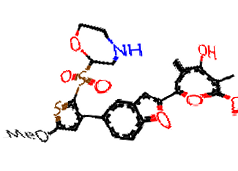 COc1cc(-c2ccc3oc(-c4oc(=O)c(C)c(O)c4C)cc3c2)c(S(=O)(=O)C2CNCCO2)s1